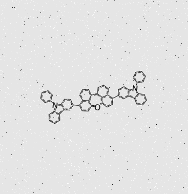 c1ccc(-n2c3ccccc3c3cc(-c4ccc5oc6ccc(-c7ccc8c(c7)c7ccccc7n8-c7ccccc7)c7cccc(c8cccc4c58)c67)ccc32)cc1